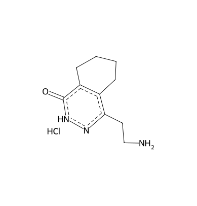 Cl.NCCc1n[nH]c(=O)c2c1CCCC2